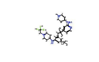 CN1CCC(Nc2cc(C(C)(C)Cc3cc(NC4CCN(CC(F)(F)F)CC4)cc(C(C)(C)C)c3)ccn2)CC1